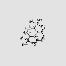 CC(C)[Si](C(C)C)(C(C)C)C(C)OC(=O)/C=C\C(=O)OC(C)[Si](C(C)C)(C(C)C)C(C)C